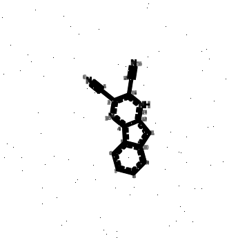 N#Cc1nc2c3ccccc3cc-2[nH]c1C#N